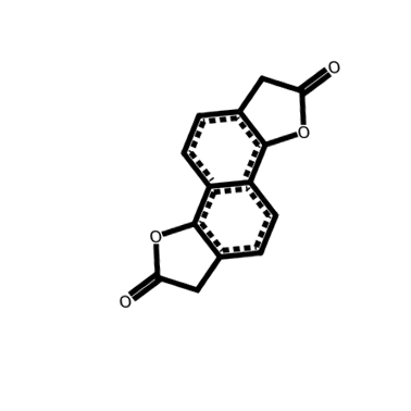 O=C1Cc2ccc3c4c(ccc3c2O1)CC(=O)O4